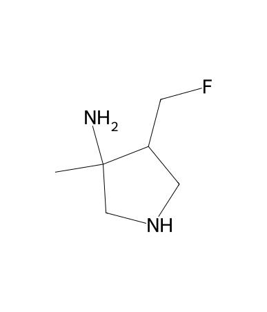 CC1(N)CNCC1CF